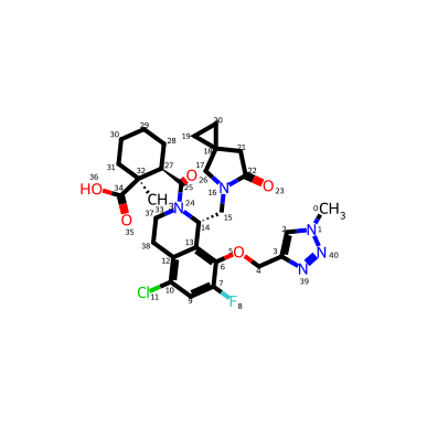 Cn1cc(COc2c(F)cc(Cl)c3c2[C@@H](CN2CC4(CC4)CC2=O)N(C(=O)[C@@H]2CCCC[C@]2(C)C(=O)O)CC3)nn1